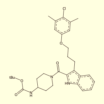 Cc1cc(OCCCc2c(C(=O)N3CCC(NC(=O)OC(C)(C)C)CC3)[nH]c3ccccc23)cc(C)c1Cl